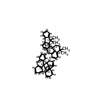 CC1(C)CCC(C)(C)c2c(N(c3ccc4c(c3)C(C)(C)c3ccccc3-4)c3ccc4c(c3)C3(c5c(cccc5-c5ccccc5)S4)C4CC5CC6CC3C64C5)cccc21